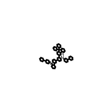 c1ccc(-c2ccc(-n3c4ccccc4c4cc(-c5ccc(Nc6cccc(-c7ccccc7)c6)c(-c6ccc7c(c6)-c6ccccc6C7(c6ccccc6)c6ccccc6)c5)ccc43)cc2)cc1